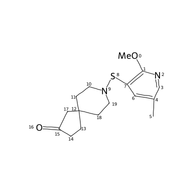 COc1ncc(C)cc1SN1CCC2(CCC(=O)C2)CC1